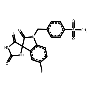 CS(=O)(=O)c1ccc(CN2C(=O)C3(NC(=O)NC3=O)c3cc(F)ccc32)cc1